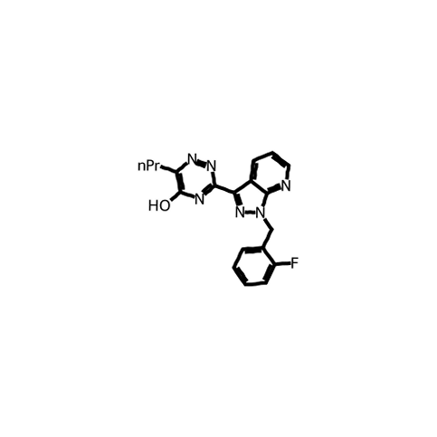 CCCc1nnc(-c2nn(Cc3ccccc3F)c3ncccc23)nc1O